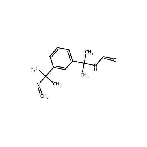 C=NC(C)(C)c1cccc(C(C)(C)NC=O)c1